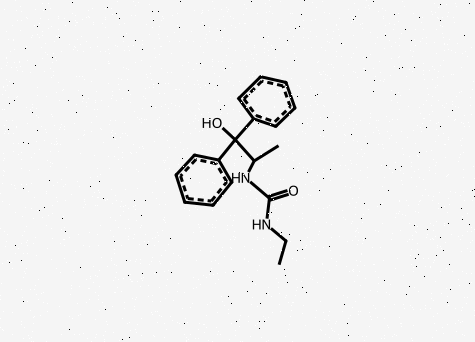 CCNC(=O)NC(C)C(O)(c1ccccc1)c1ccccc1